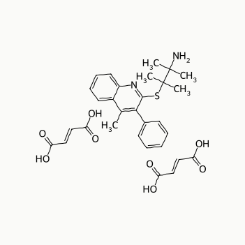 Cc1c(-c2ccccc2)c(SC(C)(C)C(C)(C)N)nc2ccccc12.O=C(O)C=CC(=O)O.O=C(O)C=CC(=O)O